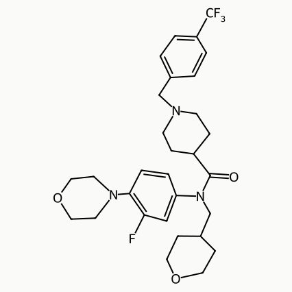 O=C(C1CCN(Cc2ccc(C(F)(F)F)cc2)CC1)N(CC1CCOCC1)c1ccc(N2CCOCC2)c(F)c1